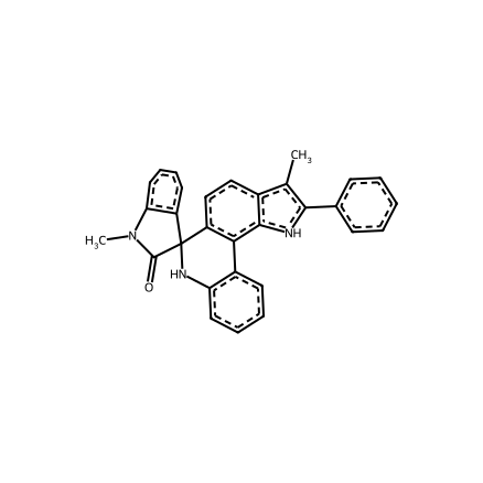 Cc1c(-c2ccccc2)[nH]c2c3c(ccc12)C1(Nc2ccccc2-3)C(=O)N(C)c2ccccc21